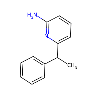 CC(c1ccccc1)c1cccc(N)n1